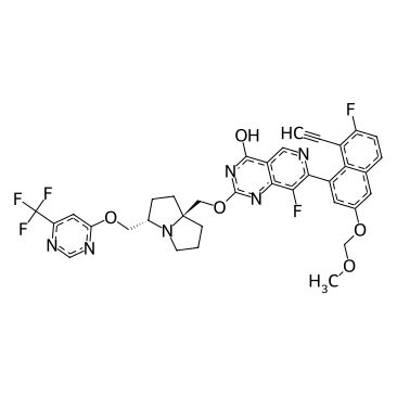 C#Cc1c(F)ccc2cc(OCOC)cc(-c3ncc4c(O)nc(OC[C@@]56CCCN5[C@H](COc5cc(C(F)(F)F)ncn5)CC6)nc4c3F)c12